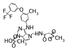 CS(=O)(=O)O.Cc1cc(Nc2ncnc3ccn(CCNC(=O)CS(C)(=O)=O)c23)ccc1Oc1cccc(C(F)(F)F)c1